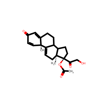 CC(=O)O[C@]1(C(=O)CO)CCC2C3CCC4=CC(=O)C=C[C@]4(C)C3=CC[C@@]21C